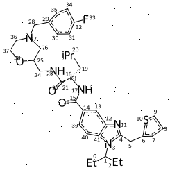 CCC(CC)n1c(Cc2cccs2)nc2cc(C(=O)N[C@@H](CC(C)C)C(=O)NCC3CN(Cc4ccc(F)cc4)CCO3)ccc21